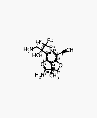 C#Cc1nc([C@@](O)(CN)C(F)(F)F)cc2c1OC[C@]2(C)C(N)=O